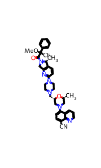 COC(C(=O)N1Cc2nc(N3CCN(C[C@H]4CN(c5ccc(C#N)c6ncccc56)C[C@@H](C)O4)CC3)ccc2[C@@H]1C)(c1ccccc1)C(F)(F)F